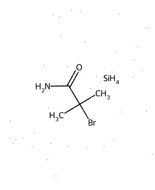 CC(C)(Br)C(N)=O.[SiH4]